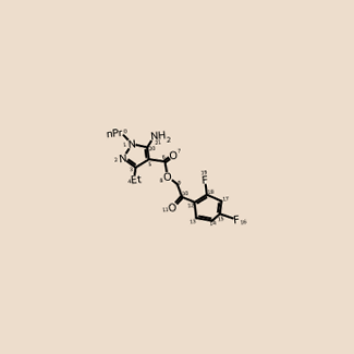 CCCn1nc(CC)c(C(=O)OCC(=O)c2ccc(F)cc2F)c1N